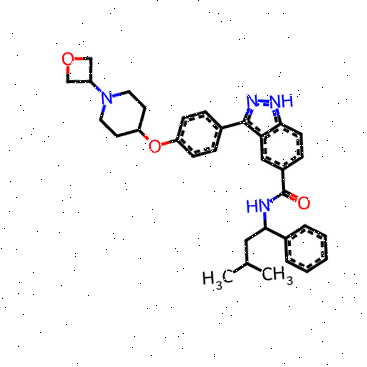 CC(C)CC(NC(=O)c1ccc2[nH]nc(-c3ccc(OC4CCN(C5COC5)CC4)cc3)c2c1)c1ccccc1